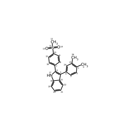 Cc1ccc(-c2c(-c3ccc(S(C)(=O)=O)cc3)[nH]c3ccccc23)cc1C